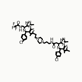 Cc1sc2c(c1C)C(c1ccc(Cl)cc1)=NC(CC(=O)NCCCN1CCN(CCc3sc4c(c3C)C(c3ccc(Cl)cc3)=NC(CNC(=O)C(F)(F)F)c3nnc(C)n3-4)CC1)c1nnc(C)n1-2